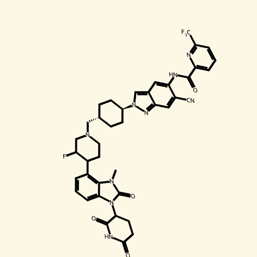 Cn1c(=O)n(C2CCC(=O)NC2=O)c2cccc(C3CCN(C[C@H]4CC[C@H](n5cc6cc(NC(=O)c7cccc(C(F)(F)F)n7)c(C#N)cc6n5)CC4)CC3F)c21